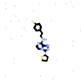 Fc1ccc(CCNc2nccn3c([C@@H]4CCCS4)nnc23)cc1